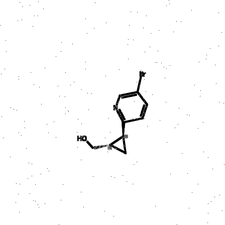 OC[C@H]1C[C@@H]1c1ccc(Br)cn1